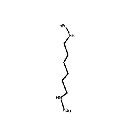 CCCCNCCCCCCNCCCC